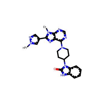 CCCn1cc(-c2nc3c(N4CCC(n5c(=O)[nH]c6ccccc65)CC4)ncnc3n2CC)cn1